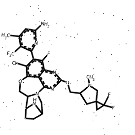 Cc1cc(N)nc(-c2c(Cl)c3c4c(nc(OCC5CC6(CN5C)CC6(F)F)nc4c2F)N2CC4CCC(N4)C2CO3)c1C(F)(F)F